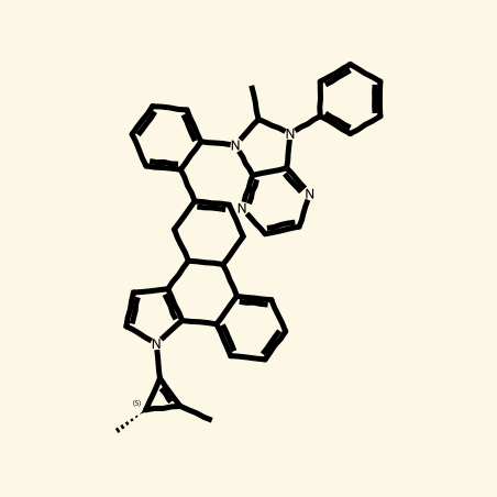 CC1=C(n2ccc3c2-c2ccccc2C2CC=C(c4ccccc4N4c5nccnc5N(c5ccccc5)C4C)CC32)[C@H]1C